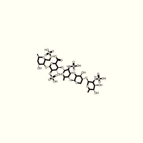 CC1O[C@H](O[C@@H]2C(C(=O)O)O[C@@H](O[C@@H]3C(COS(=O)(=O)O)O[C@H](C)C[C@H]3O)C(OS(=O)(=O)O)[C@H]2O)C(NS(=O)(=O)O)C[C@@H]1O[C@@H]1OC[C@@H](O[C@@H]2OC(C)[C@@H](O)[C@H](O)C2NS(=O)(=O)O)[C@H](O)C1O